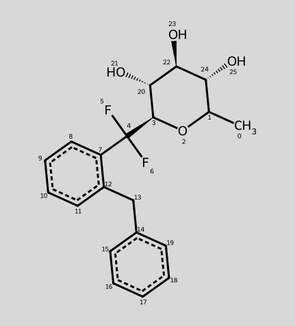 CC1O[C@@H](C(F)(F)c2ccccc2Cc2ccccc2)[C@H](O)[C@@H](O)[C@@H]1O